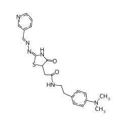 CN(C)c1ccc(CCNC(=O)CC2S/C(=N/N=C/c3cccnc3)NC2=O)cc1